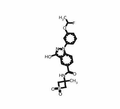 CC(F)Oc1cccc(-n2nc(O)c3cc(C(=O)NC4(C)CS(=O)(=O)C4)ccc32)c1